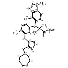 COC(=O)C(C)(C)C(c1ccc(C)c(Cn2ccnc2CC2CCCCCC2)c1)c1ccc2c(nnn2C)c1C